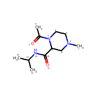 CC(=O)N1CCN(C)CC1C(=O)NC(C)C